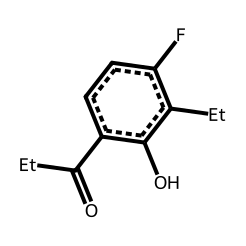 CCC(=O)c1ccc(F)c(CC)c1O